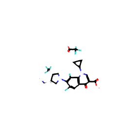 NC[C@@H]1CN(c2c(F)cc3c(=O)c(C(=O)O)cn(C4CC4)c3c2F)C[C@H]1C(F)(F)F.O=C(O)C(F)(F)F